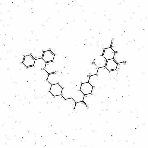 CN(CCN1CCC(OC(=O)Nc2ccccc2-c2ccccc2)CC1)C(=O)C1CCC(NC[C@H](O)c2ccc(O)c3[nH]c(=O)ccc23)CC1